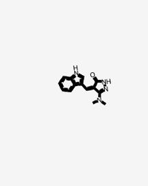 CN(C)C1=NNC(=O)C1=Cc1c[nH]c2ccccc12